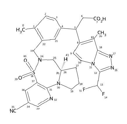 Cc1ccc(C(CC(=O)O)c2ccn3c(C(F)F)nnc3c2C)cc1CN1C[C@H]2CCCN2c2ncc(C#N)cc2S1(=O)=O